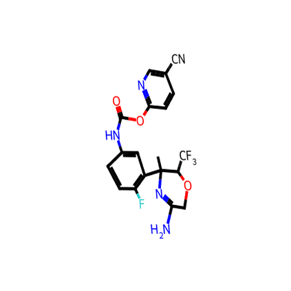 CC1(c2cc(NC(=O)Oc3ccc(C#N)cn3)ccc2F)N=C(N)COC1C(F)(F)F